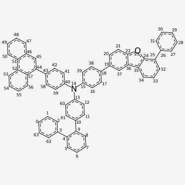 c1ccc(-c2ccccc2-c2ccc(N(c3ccc(-c4ccc5oc6c(-c7ccccc7)cccc6c5c4)cc3)c3ccc(-c4cc5ccccc5c5ccccc45)cc3)cc2)cc1